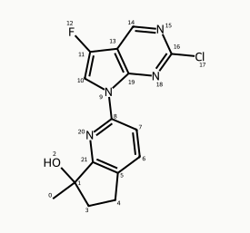 CC1(O)CCc2ccc(-n3cc(F)c4cnc(Cl)nc43)nc21